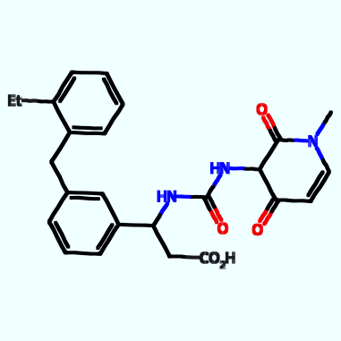 CCc1ccccc1Cc1cccc(C(CC(=O)O)NC(=O)NC2C(=O)C=CN(C)C2=O)c1